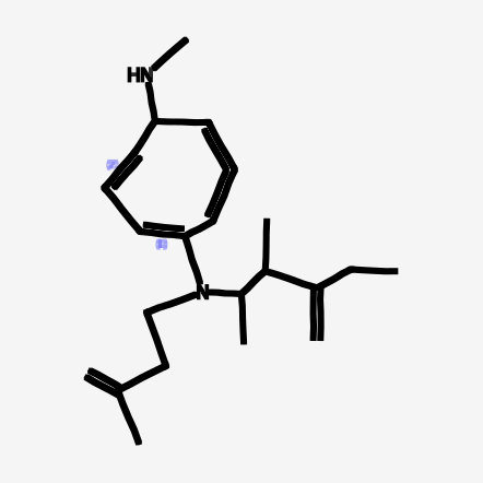 C=C(C)CCN(/C1=C/C=C\C(NC)C=C=C1)C(C)C(C)C(=C)CC